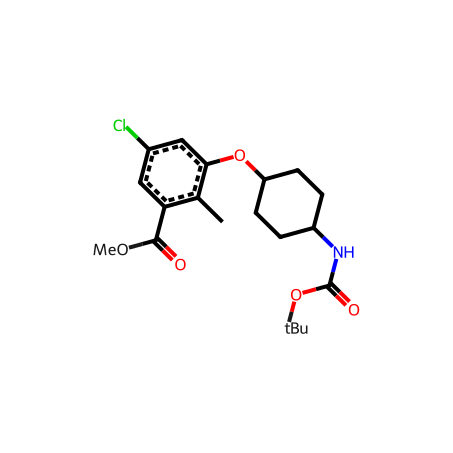 COC(=O)c1cc(Cl)cc(OC2CCC(NC(=O)OC(C)(C)C)CC2)c1C